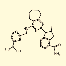 CC1Cc2c(C(N)=O)cccc2C1c1nc2c(c(NCc3cccc(B(O)O)c3)n1)CCCCC2